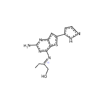 CC/C(CO)=N\c1nc(N)nc2cc(-c3ccn[nH]3)sc12